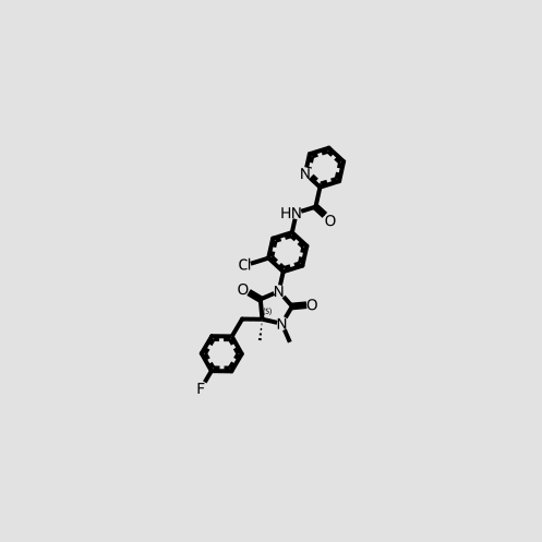 CN1C(=O)N(c2ccc(NC(=O)c3ccccn3)cc2Cl)C(=O)[C@]1(C)Cc1ccc(F)cc1